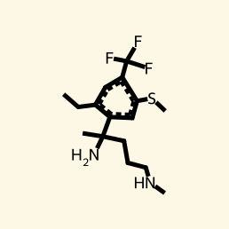 CCc1cc(C(F)(F)F)c(SC)cc1C(C)(N)CCCNC